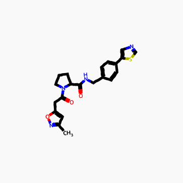 Cc1cc(CC(=O)N2CCCC2C(=O)NCc2ccc(-c3cncs3)cc2)on1